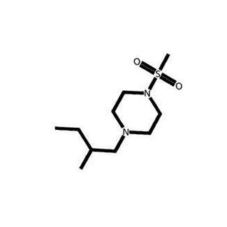 CCC(C)CN1CCN(S(C)(=O)=O)CC1